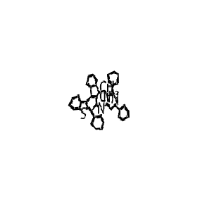 CC1(C)c2ccccc2-c2c1c1c(c3ccccc3n1-c1cc(-c3ccccc3)nc(-c3ccccc3)n1)c1sc3ccccc3c21